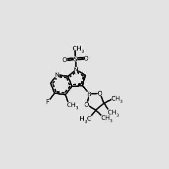 Cc1c(F)cnc2c1c(B1OC(C)(C)C(C)(C)O1)cn2S(C)(=O)=O